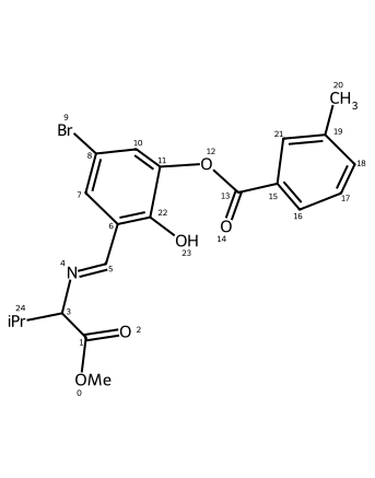 COC(=O)C(N=Cc1cc(Br)cc(OC(=O)c2cccc(C)c2)c1O)C(C)C